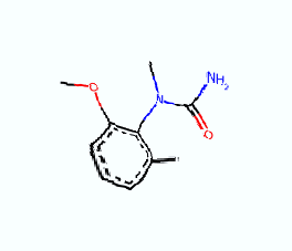 [CH2]c1cccc(OC)c1N(C)C(N)=O